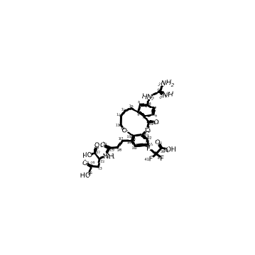 N=C(N)Nc1ccc2c(c1)CCCCOc1c(CCC(=O)NC(CC(=O)O)C(=O)O)cccc1OC2=O.O=C(O)C(F)(F)F